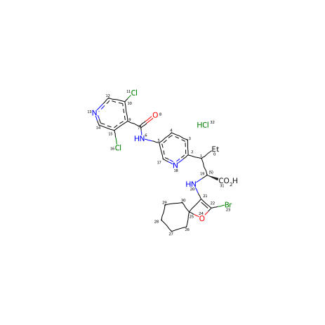 CCC(c1ccc(NC(=O)c2c(Cl)cncc2Cl)cn1)[C@H](NC1=C(Br)OC12CCCCC2)C(=O)O.Cl